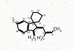 C=C1/C(=C\C(C)=C/C)C2(CCCCC2)c2cc(F)ccc21